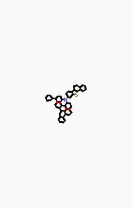 c1ccc(-c2ccc(N(c3ccc4c(c3)sc3c5ccccc5ccc43)c3ccccc3-c3ccccc3-c3cc4ccccc4c4ccccc34)cc2)cc1